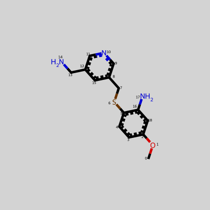 COc1ccc(SCc2cncc(CN)c2)c(N)c1